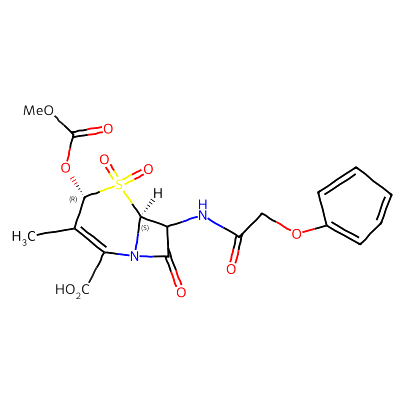 COC(=O)O[C@H]1C(C)=C(C(=O)O)N2C(=O)C(NC(=O)COc3ccccc3)[C@@H]2S1(=O)=O